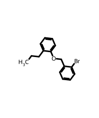 CCCc1ccccc1OCc1ccccc1Br